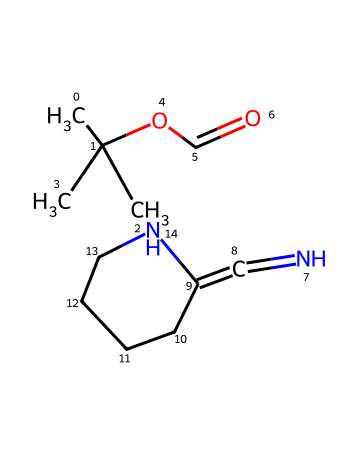 CC(C)(C)OC=O.N=C=C1CCCCN1